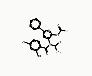 CC(C)N(C(=O)c1ccc(Cl)cc1O)c1cc(-c2ccccc2)sc1OC(=O)O